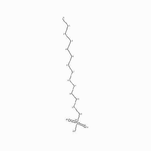 CCCCCCCCCCCCCCS(C)(=O)=O